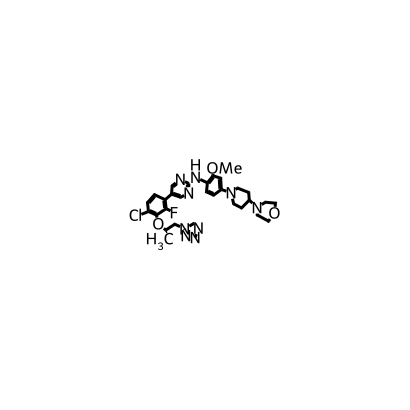 COc1cc(N2CCC(N3CCOCC3)CC2)ccc1Nc1ncc(-c2ccc(Cl)c(O[C@@H](C)Cn3cnnn3)c2F)cn1